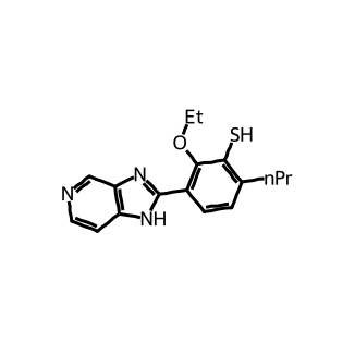 CCCc1ccc(-c2nc3cnccc3[nH]2)c(OCC)c1S